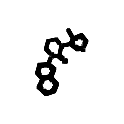 Cc1ccncc1N1CCCN(c2ccc3ccccc3c2)C1=O